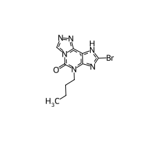 CCCCn1c(=O)n2cnnc2c2[nH]c(Br)nc21